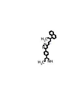 C=CCC(C=N)c1ccc(-c2cc(/C=C/CC(C=C)c3cccc4ccccc34)ncn2)cc1